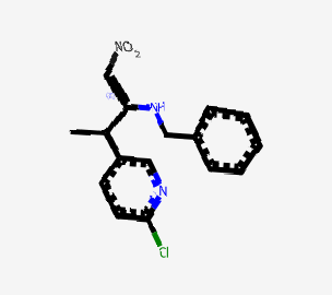 CC(/C(=C/[N+](=O)[O-])NCc1ccccc1)c1ccc(Cl)nc1